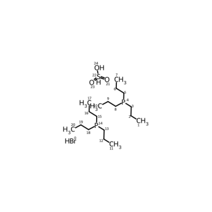 Br.CCCP(CCC)CCC.CCCP(CCC)CCC.O=[SH](=O)O